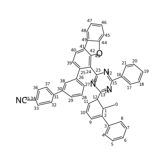 CC1C(c2ccccc2)=CC=CC1c1nc(-c2ccccc2)nc(-c2c(-c3cccc(-c4ccc(C#N)cc4)c3)ccc3c2oc2ccccc23)n1